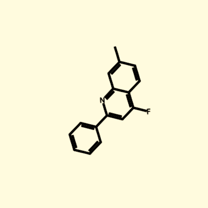 Cc1ccc2c(F)cc(-c3ccccc3)nc2c1